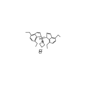 CCc1ccc(CC)c2c1C=C[CH]2[Hf+2]([CH]1C=Cc2c(CC)ccc(CC)c21)=[Si]1CCC1.[Cl-].[Cl-]